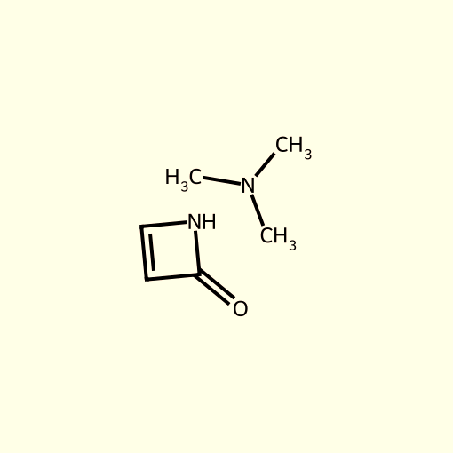 CN(C)C.O=C1C=CN1